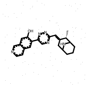 Oc1cc2cnccc2cc1-c1cnc(/C=C2\CC3CCCC(N3)[C@H]2F)nn1